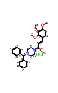 COc1ccc(/C=C/C(=O)N2CCN(C(c3ccccc3)c3ccccc3)CC2)c(OC)c1OC.Cl